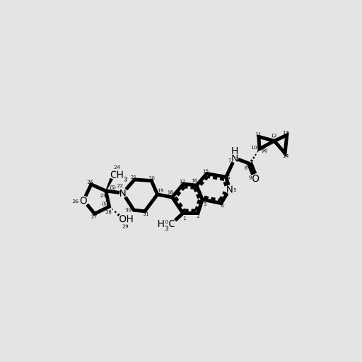 Cc1cc2cnc(NC(=O)[C@@H]3CC34CC4)cc2cc1C1CCN([C@@]2(C)COC[C@H]2O)CC1